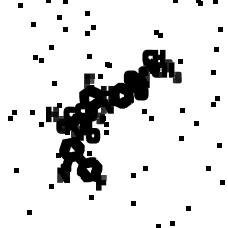 CN(C)/C=N/S(=O)(=O)c1ccc(Nc2cc(F)ccc2CN2C(=O)N(c3ccc(C#N)c(-c4ccc(F)cc4)c3)C(=O)C2(C)C)cc1